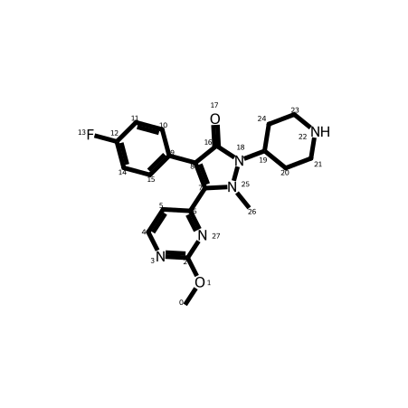 COc1nccc(-c2c(-c3ccc(F)cc3)c(=O)n(C3CCNCC3)n2C)n1